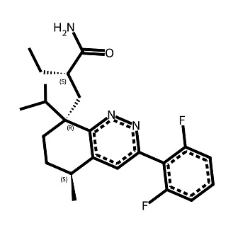 CC[C@@H](C[C@@]1(C(C)C)CC[C@H](C)c2cc(-c3c(F)cccc3F)nnc21)C(N)=O